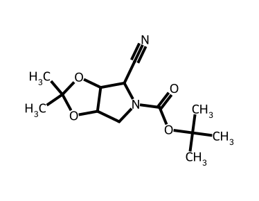 CC(C)(C)OC(=O)N1CC2OC(C)(C)OC2C1C#N